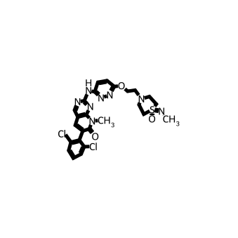 CN=S1(=O)CCN(CCOc2ccc(Nc3ncc4cc(-c5c(Cl)cccc5Cl)c(=O)n(C)c4n3)nn2)CC1